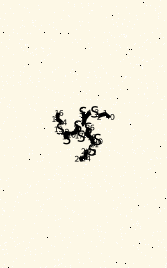 CCCSC1SC1C1SC(C2SC2SCCC)SC(C2SC2SCCC)S1